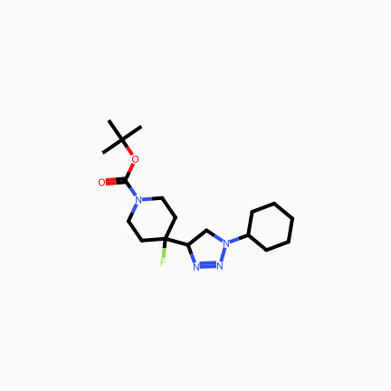 CC(C)(C)OC(=O)N1CCC(F)(C2CN(C3CCCCC3)N=N2)CC1